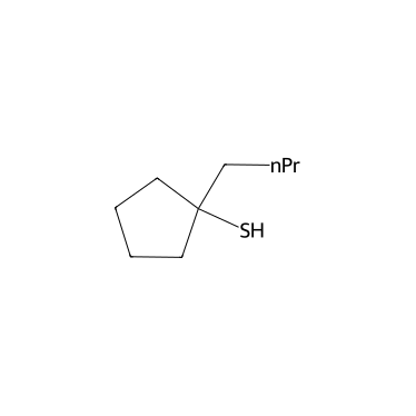 CCCCC1(S)CCCC1